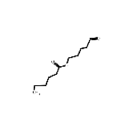 CCCCCC(=O)OCCCC[C]=O